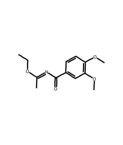 CCO/C(C)=N/C(=O)c1ccc(OC)c(OC)c1